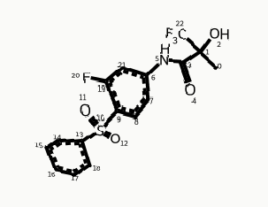 CC(O)(C(=O)Nc1ccc(S(=O)(=O)c2ccccc2)c(F)c1)C(F)(F)F